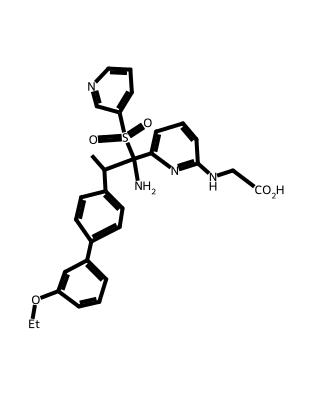 CCOc1cccc(-c2ccc(C(C)C(N)(c3cccc(NCC(=O)O)n3)S(=O)(=O)c3cccnc3)cc2)c1